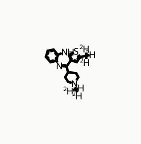 [2H]C([2H])([2H])c1cc2c(s1)Nc1ccccc1N=C2C1CCN(C([2H])([2H])[2H])CC1